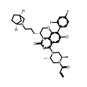 C=CC(=O)N1C[C@H](C)N(c2nc(=O)n3c4c(c(-c5ccc(F)cc5F)c(Cl)cc24)OC[C@H]3CCCN2C[C@@H]3CC[C@H]2C3)C[C@H]1C